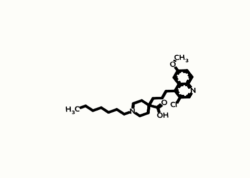 CCCCCCCN1CCC(CCCc2c(Cl)cnc3ccc(OC)cc23)(C(=O)O)CC1